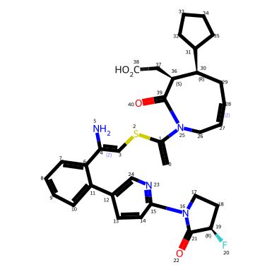 C=C(S/C=C(\N)c1ccccc1-c1ccc(N2CC[C@@H](F)C2=O)nc1)N1C/C=C\C[C@H](C2CCCC2)[C@H](CC(=O)O)C1=O